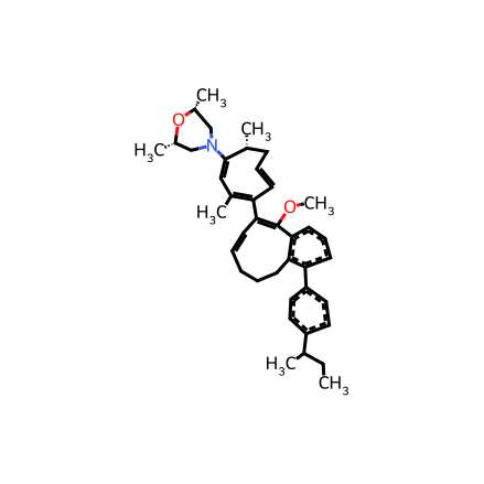 CCC(C)c1ccc(-c2cccc3c2CCC\C=C/C(C2=C(C)/C=C(/N4C[C@@H](C)O[C@@H](C)C4)[C@H](C)C\C=C\2)=C\3OC)cc1